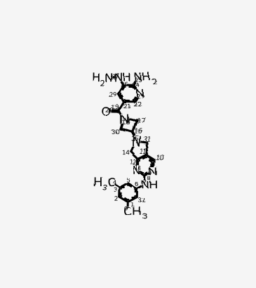 Cc1cc(C)cc(Nc2ncc3c(n2)CN(C2CN(C(=O)c4cnc(N)c(NN)c4)C2)C3)c1